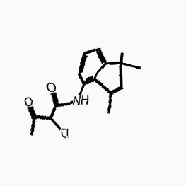 CC(=O)C(Cl)C(=O)Nc1cccc2c1C(C)CC2(C)C